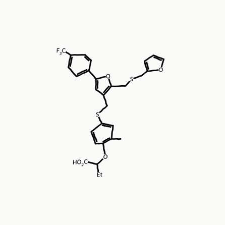 CCC(Oc1ccc(SCc2cc(-c3ccc(C(F)(F)F)cc3)oc2CSCc2ccco2)cc1C)C(=O)O